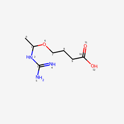 CC(NC(=N)N)OCCCC(=O)O